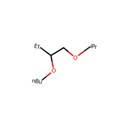 [CH2]C(C)OCC(CC)OCCCC